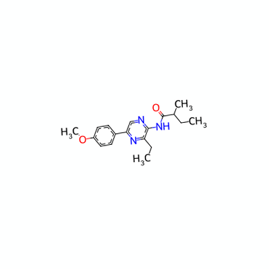 CCc1nc(-c2ccc(OC)cc2)cnc1NC(=O)C(C)CC